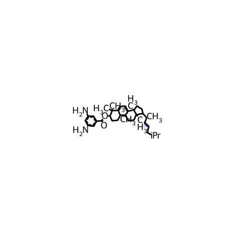 CC(C)C/C=C/C(C)C1CCC2(C)C3=CC=C4C(C)(C)C(OC(=O)c5cc(N)cc(N)c5)CCC4(C)C3CCC12C